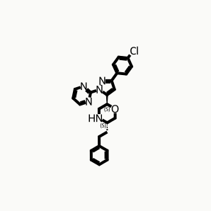 Clc1ccc(-c2cc([C@@H]3CN[C@@H](CCc4ccccc4)CO3)n(-c3ncccn3)n2)cc1